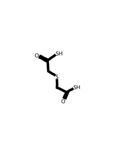 O=C(S)CSCC(=O)S